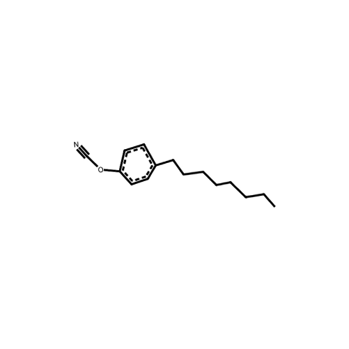 CCCCCCCCc1ccc(OC#N)cc1